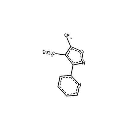 CCOC(=O)c1c(-c2ccccn2)noc1C(F)(F)F